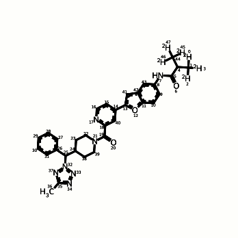 [2H]C([2H])([2H])C(C(=O)Nc1ccc2oc(-c3ccnc(C(=O)N4CCC(C(c5ccccc5)n5nnc(C)n5)CC4)c3)cc2c1)C([2H])([2H])[2H]